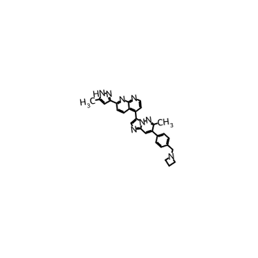 Cc1cc(-c2ccc3c(-c4cnc5cc(-c6ccc(CN7CCC7)cc6)c(C)nn45)ccnc3n2)n[nH]1